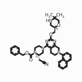 CC1(C)CO[C@@H](COc2nc3c(c(N4CCN(C(=O)OCc5ccccc5)[C@@H](CC#N)C4)n2)CCN(c2cccc4ccccc24)C3)CN1